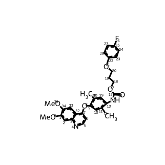 COc1cc2nccc(Oc3cc(C)c(NC(=O)OCCCOc4ccc(F)cc4)cc3C)c2cc1OC